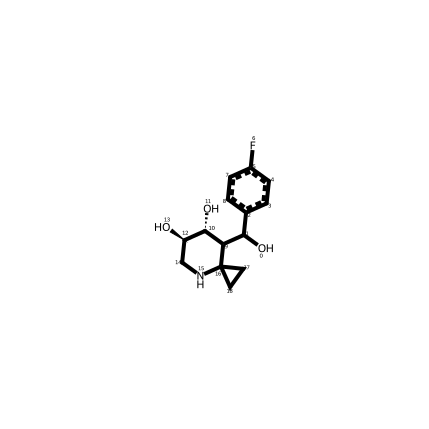 OC(c1ccc(F)cc1)C1[C@@H](O)[C@H](O)CNC12CC2